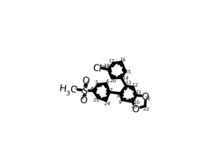 CS(=O)(=O)c1ccc(-c2cc3c(cc2-c2cccc(Cl)c2)OCO3)cc1